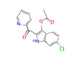 CC(=O)Oc1c(C(=O)c2ccccn2)[nH]c2cc(Cl)ccc12